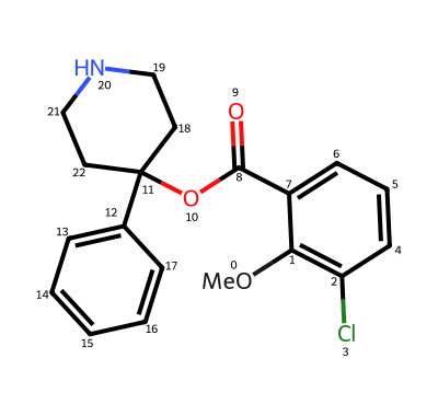 COc1c(Cl)cccc1C(=O)OC1(c2ccccc2)CCNCC1